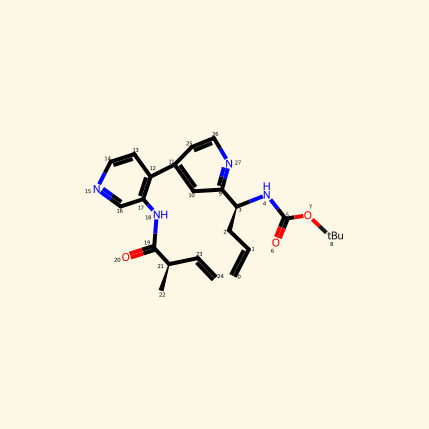 C=CC[C@H](NC(=O)OC(C)(C)C)c1cc(-c2ccncc2NC(=O)[C@H](C)C=C)ccn1